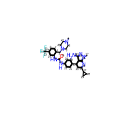 CN1CCN(Cc2ccc(C(F)(F)F)cc2NC(=O)Nc2ccc(-c3cc(C4CC4)nc4c3c(N)nn4C)cc2)CC1